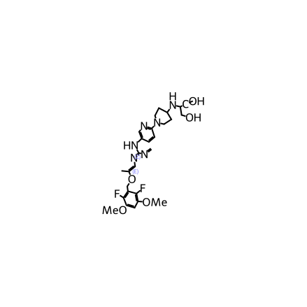 C=N/C(=N\C=C(/C)OCc1c(F)c(OC)cc(OC)c1F)Nc1ccc(N2CCC(NC(CO)CO)CC2)nc1